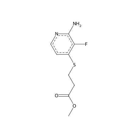 COC(=O)CCSc1ccnc(N)c1F